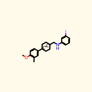 COc1ccc(C23CCC(CNc4cccc(I)c4)(CC2)CC3)cc1C